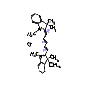 CN1\C(=C/C=C/C=C/C2=[N+](C)c3ccccc3C2(C)C)C(C)(C)c2ccccc21.[Cl-]